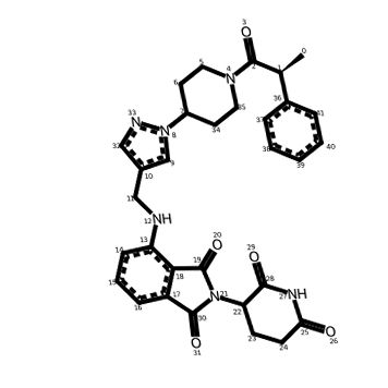 C[C@H](C(=O)N1CCC(n2cc(CNc3cccc4c3C(=O)N(C3CCC(=O)NC3=O)C4=O)cn2)CC1)c1ccccc1